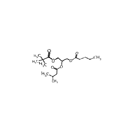 CCCCC(=O)OC[C](COC(=O)C(C)(C)C)OC(=O)CC(C)C